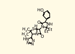 CCC1(CC)NC(c2cccc(O)c2)C(=O)N1C1C(=O)N2C(c3nnn[nH]3)C(C)(C)S[C@H]12